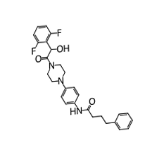 O=C(CCCc1ccccc1)Nc1ccc(N2CCN(C(=O)C(O)c3c(F)cccc3F)CC2)cc1